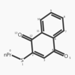 CCCSC1=CC(=O)c2ccccc2C1=O